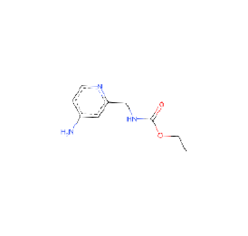 CCOC(=O)NCc1cc(N)ccn1